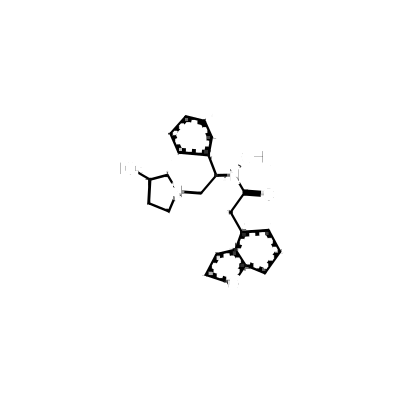 CN(C(=O)Cc1cccc2occc12)C(CN1CCC(O)C1)c1ccccc1